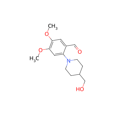 COc1cc(C=O)c(N2CCC(CO)CC2)cc1OC